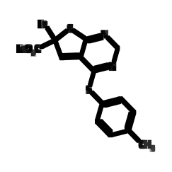 CCOC(=O)C1(CC)C=C2C(Sc3ccc(C)cc3)=NCN=C2S1